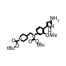 COc1cc(N(CC2CCN(C(=O)OC(C)(C)C)CC2)C(=O)OC(C)(C)C)ccc1-c1cc(N)n[nH]1